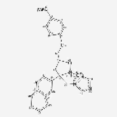 COc1ccc(OCC2CC(Cn3cncn3)(c3ccc4ccccc4c3)N(C)O2)cc1